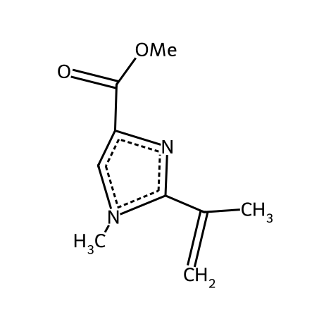 C=C(C)c1nc(C(=O)OC)cn1C